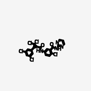 O=C(Nc1ncccn1)c1cc(NC(=O)C2C(c3cc(Cl)cc(Cl)c3)C2(Cl)Cl)ccc1Cl